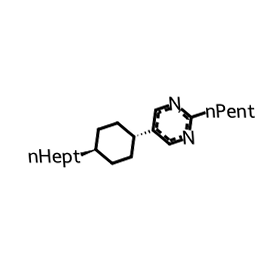 CCCCCCC[C@H]1CC[C@H](c2cnc(CCCCC)nc2)CC1